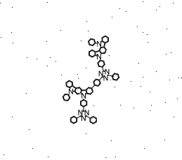 c1ccc(-c2nc(-c3ccccc3)nc(-c3ccc(-n4c5ccc(-c6ccc(-c7nc(-c8ccccc8)nc(-c8ccc(-n9c%10ccccc%10c%10c9ccc9c%11ccccc%11n(-c%11ccccc%11)c9%10)cc8)n7)cc6)cc5c5cc6c7ccccc7n(-c7ccccc7)c6cc54)cc3)n2)cc1